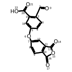 O=Cc1ccc(Oc2ccc3c(c2)C(=O)OC3=O)cc1C(=O)O